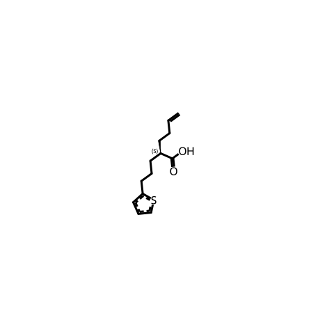 C=CCC[C@H](CCCc1cccs1)C(=O)O